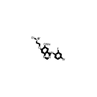 CC[S+]([O-])CCOc1cc2ncnc(Nc3ccc(Br)cc3F)c2cc1OC